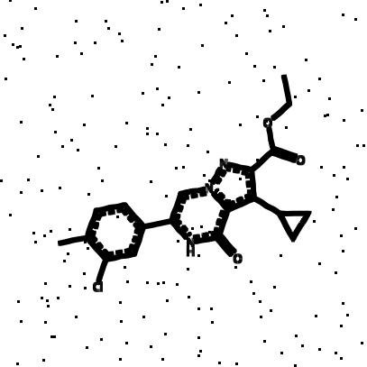 CCOC(=O)c1nn2cc(-c3ccc(C)c(Cl)c3)[nH]c(=O)c2c1C1CC1